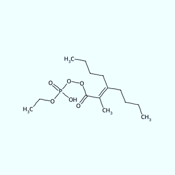 CCCCC(CCCC)=C(C)C(=O)OOP(=O)(O)OCC